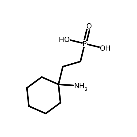 NC1(CCP(=O)(O)O)CCCCC1